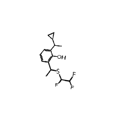 CC(SC(F)C(F)F)c1cccc(C(C)C2CC2)c1O